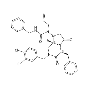 C=CCN(C(=O)NCc1ccccc1)N1CC(=O)N2[C@@H](Cc3ccccc3)C(=O)N(Cc3ccc(Cl)c(Cl)c3)C[C@@H]21